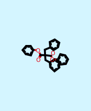 O=C(Oc1ccccc1)C(Cc1ccccc1)(Cc1ccccc1)C(=O)Oc1ccccc1